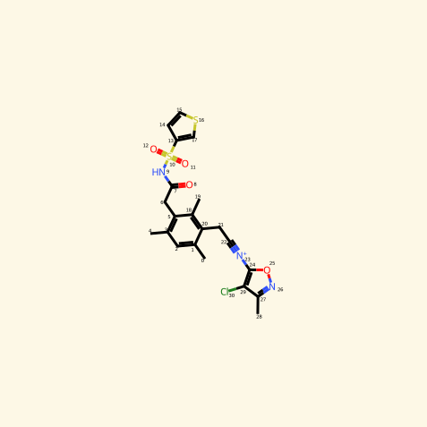 Cc1cc(C)c(CC(=O)NS(=O)(=O)c2ccsc2)c(C)c1CC#[N+]c1onc(C)c1Cl